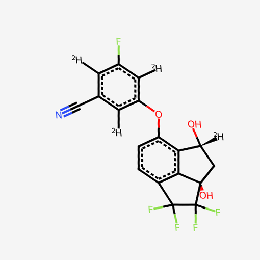 [2H]c1c(F)c([2H])c(Oc2ccc3c4c2[C@]([2H])(O)C[C@]4(O)C(F)(F)C3(F)F)c([2H])c1C#N